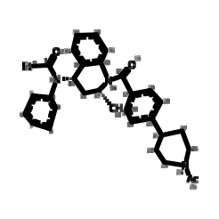 CCC(=O)N(c1ccccc1)[C@H]1C[C@@H](C)N(C(=O)c2ccc(C3CCN(C(C)=O)CC3)cc2)c2ccccc21